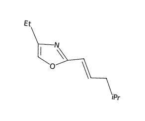 [CH2]Cc1coc(C=CCC(C)C)n1